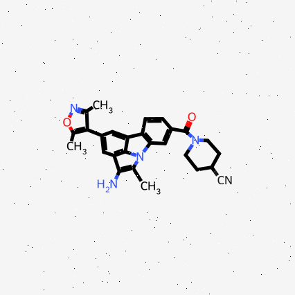 Cc1noc(C)c1-c1cc2c(N)c(C)n3c4cc(C(=O)N5CCC(C#N)CC5)ccc4c(c1)c23